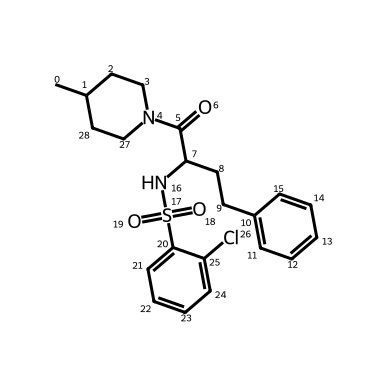 CC1CCN(C(=O)C(CCc2ccccc2)NS(=O)(=O)c2ccccc2Cl)CC1